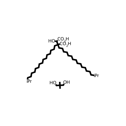 CC(C)(CO)CO.CC(C)CCCCCCCCCCCCCCCC(CCCCCCCCCCCCCCCC(C)C)(C(=O)O)C(O)C(=O)O